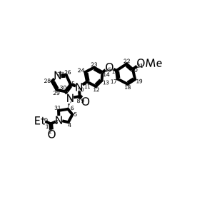 CCC(=O)N1CC[C@@H](n2c(=O)n(-c3ccc(Oc4cccc(OC)c4)cc3)c3cnccc32)C1